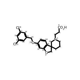 O=C(O)CCN1CCCC2(COc3cc(OCc4cc(Cl)cc(Cl)c4)ccc32)C1